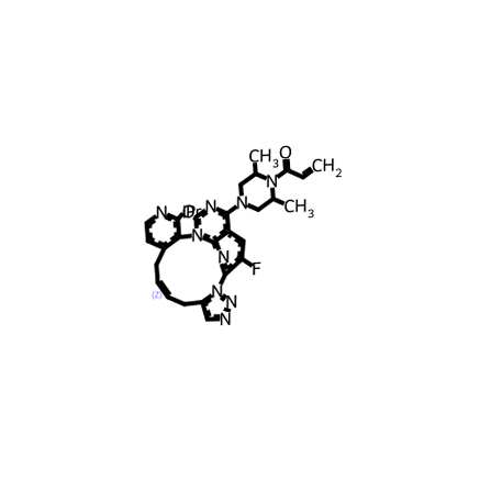 C=CC(=O)N1C(C)CN(c2nc(=O)n3c4nc(c(F)cc24)-n2nncc2C/C=C\Cc2ccnc(C(C)C)c2-3)CC1C